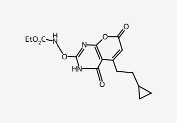 CCOC(=O)NOc1nc2oc(=O)cc(CCC3CC3)c2c(=O)[nH]1